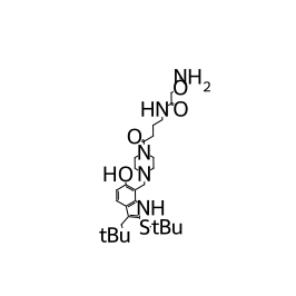 CC(C)(C)Cc1c(SC(C)(C)C)[nH]c2c(CN3CCN(C(=O)CCCNC(=O)CON)CC3)c(O)ccc12